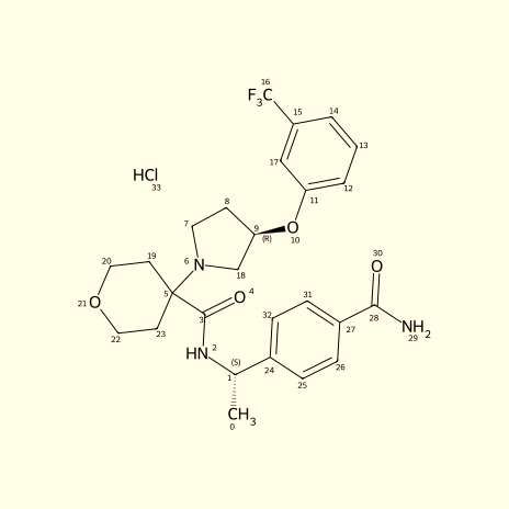 C[C@H](NC(=O)C1(N2CC[C@@H](Oc3cccc(C(F)(F)F)c3)C2)CCOCC1)c1ccc(C(N)=O)cc1.Cl